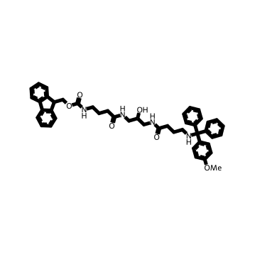 COc1ccc(C(NCCCC(=O)NCC(O)CNC(=O)CCCNC(=O)OCC2c3ccccc3-c3ccccc32)(c2ccccc2)c2ccccc2)cc1